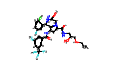 CCOCC(O)CNC(=O)c1cc(NC(=O)c2cc(F)cc(C(F)(F)F)c2)c2n1CC(=O)NC2c1cc(F)ccc1Cl